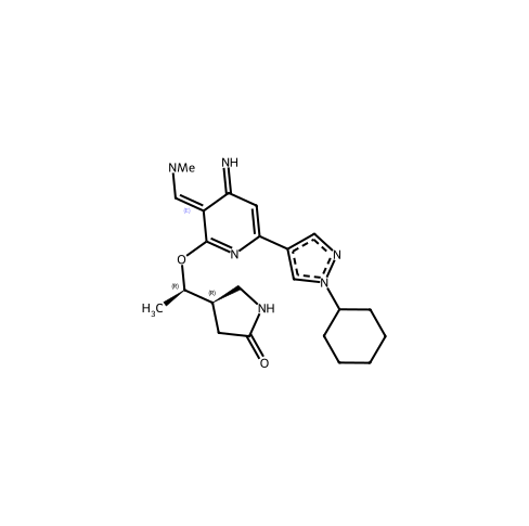 CN/C=C1\C(=N)C=C(c2cnn(C3CCCCC3)c2)N=C1O[C@H](C)[C@H]1CNC(=O)C1